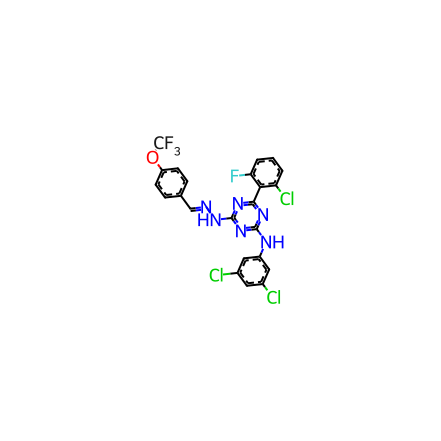 Fc1cccc(Cl)c1-c1nc(NN=Cc2ccc(OC(F)(F)F)cc2)nc(Nc2cc(Cl)cc(Cl)c2)n1